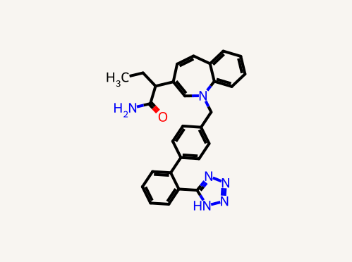 CCC(C(N)=O)C1=CN(Cc2ccc(-c3ccccc3-c3nnn[nH]3)cc2)c2ccccc2C=C1